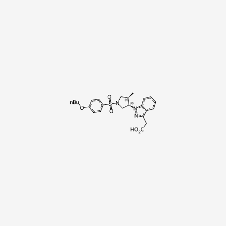 CCCCOc1ccc(S(=O)(=O)N2C[C@@H](C)[C@@H](n3nc(CC(=O)O)c4ccccc43)C2)cc1